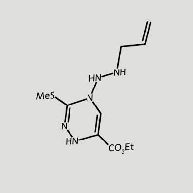 C=CCNNN1C=C(C(=O)OCC)NN=C1SC